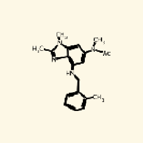 CC(=O)N(C)c1cc(NCc2ccccc2C)c2nc(C)n(C)c2c1